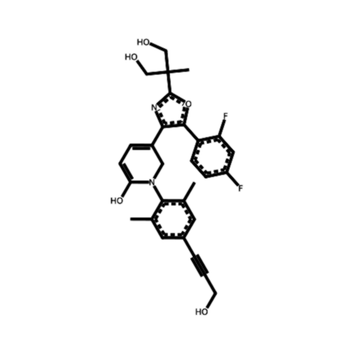 Cc1cc(C#CCO)cc(C)c1N1CC(c2nc(C(C)(CO)CO)oc2-c2ccc(F)cc2F)=CC=C1O